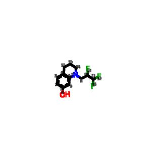 Oc1ccc2c(c1)N(CC(F)C(F)F)CCC2